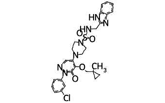 CC1(COc2c(N3CCN(S(=O)(=O)NCc4nc5ccccc5[nH]4)CC3)cnn(-c3cccc(Cl)c3)c2=O)CC1